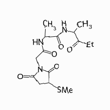 CCC(=O)C(C)NC(=O)C(C)NC(=O)CN1C(=O)CC(SC)C1=O